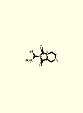 CC(C)C(C(=O)O)N1C(=O)C2COCCN2C1=O